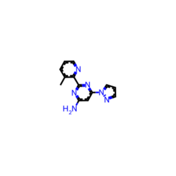 Cc1cccnc1-c1nc(N)cc(-n2cccn2)n1